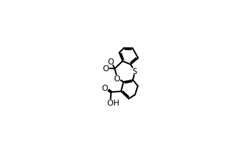 O=C(O)C1=CCCC2=C1OC1(OO1)c1ccccc1S2